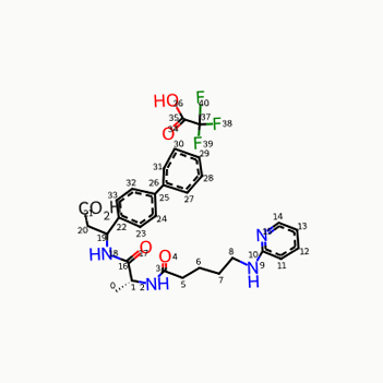 C[C@@H](NC(=O)CCCCNc1ccccn1)C(=O)NC(CC(=O)O)c1ccc(-c2ccccc2)cc1.O=C(O)C(F)(F)F